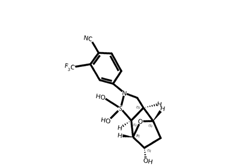 N#Cc1ccc(N2C[C@@H]3[C@@H]([C@@H]4O[C@H]3C[C@@H]4O)S2(O)O)cc1C(F)(F)F